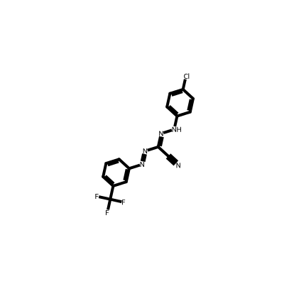 N#CC(/N=N/c1cccc(C(F)(F)F)c1)=N\Nc1ccc(Cl)cc1